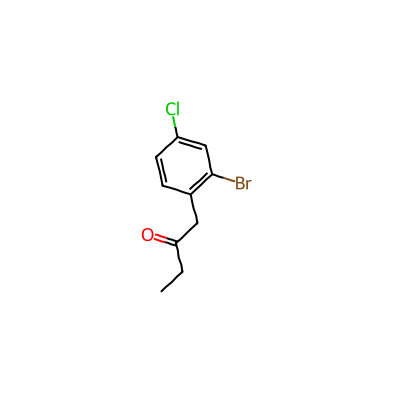 CCC(=O)Cc1ccc(Cl)cc1Br